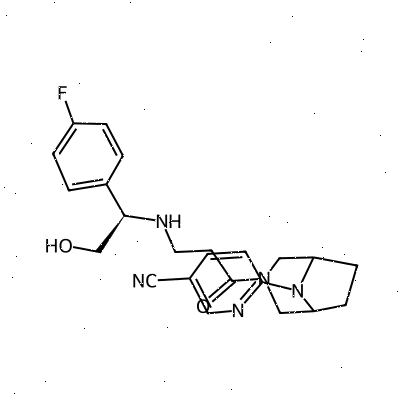 N#Cc1ccc(N2C3CCC2CN(C(=O)CCN[C@@H](CO)c2ccc(F)cc2)C3)nc1